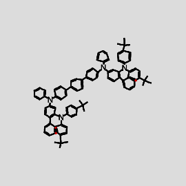 CC(C)(C)c1ccc(N(c2ccc(C(C)(C)C)cc2)c2cc(N(c3ccccc3)c3ccc(-c4ccc(-c5ccc(N(c6ccccc6)c6ccc(-c7ccccc7)c(N(c7ccc(C(C)(C)C)cc7)c7ccc(C(C)(C)C)cc7)c6)cc5)cc4)cc3)ccc2-c2ccccc2)cc1